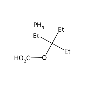 CCC(CC)(CC)OC(=O)O.P